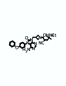 CCNC(C)(C)/C=C(/C#N)C(=O)N1CC(Cn2c(=O)n(-c3ccc(Oc4ccccc4)cc3)c3c(N)ncnc32)C1